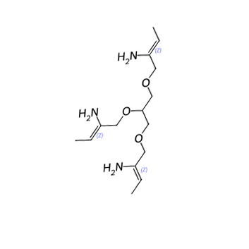 C/C=C(\N)COCC(COC/C(N)=C/C)OC/C(N)=C/C